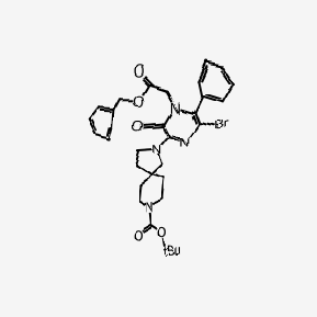 CC(C)(C)OC(=O)N1CCC2(CC1)CCN(c1nc(Br)c(-c3ccccc3)n(CC(=O)OCc3ccccc3)c1=O)C2